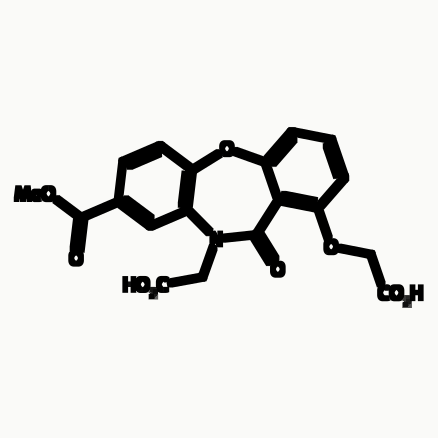 COC(=O)c1ccc2c(c1)N(CC(=O)O)C(=O)c1c(OCC(=O)O)cccc1O2